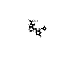 COC(=O)c1sc2ncnc(Nc3ccc(F)cc3OC3CCC3)c2c1C